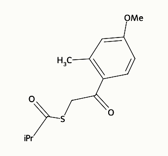 COc1ccc(C(=O)CSC(=O)C(C)C)c(C)c1